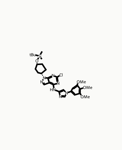 COc1cc(-n2cnc(Nc3nc(Cl)nc4c3cnn4[C@H]3CC[C@@H](O[Si](C)(C)C(C)(C)C)CC3)c2)cc(OC)c1OC